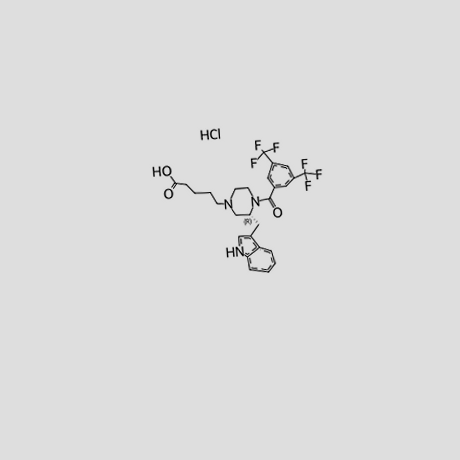 Cl.O=C(O)CCCCN1CCN(C(=O)c2cc(C(F)(F)F)cc(C(F)(F)F)c2)[C@H](Cc2c[nH]c3ccccc23)C1